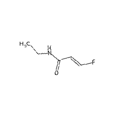 CCNC(=O)/C=C/F